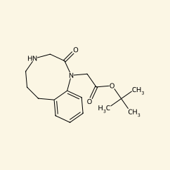 CC(C)(C)OC(=O)CN1C(=O)CNCCCc2ccccc21